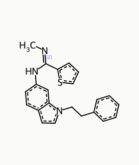 C/N=C(\Nc1ccc2ccn(CCc3ccccc3)c2c1)c1cccs1